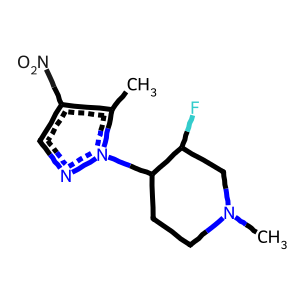 Cc1c([N+](=O)[O-])cnn1C1CCN(C)CC1F